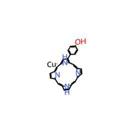 Oc1ccc(-c2cc3cc4nc(cc5ccc(cc6nc(cc2[nH]3)C=C6)[nH]5)C=C4)cc1.[Cu]